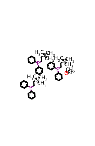 C=O.C[Si](C)(C)CCP(c1ccccc1)c1ccccc1.C[Si](C)(C)CCP(c1ccccc1)c1ccccc1.C[Si](C)(C)CCP(c1ccccc1)c1ccccc1.[Rh]